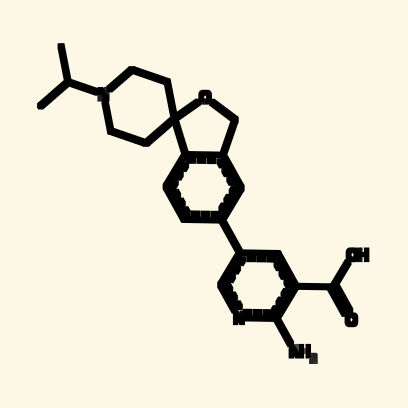 CC(C)N1CCC2(CC1)OCc1cc(-c3cnc(N)c(C(=O)O)c3)ccc12